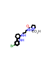 O=C(NCCCNC1CCCc2c1[nH]c1ccc(Br)cc21)[C@@H]1CCCN1C(=O)O